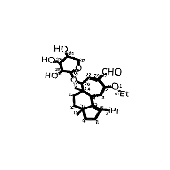 CCOC1CC2C3=C(C(C)C)CCC3(C)CCC2(C)C(OC2OCC(O)C(O)C2O)C=C1C=O